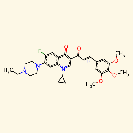 CCN1CCN(c2cc3c(cc2F)c(=O)c(C(=O)/C=C/c2cc(OC)c(OC)c(OC)c2)cn3C2CC2)CC1